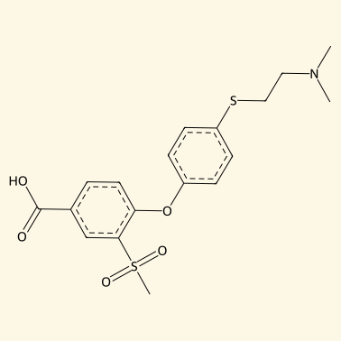 CN(C)CCSc1ccc(Oc2ccc(C(=O)O)cc2S(C)(=O)=O)cc1